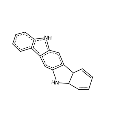 C1=CC2Nc3cc4c(cc3C2C=C1)[nH]c1ccccc14